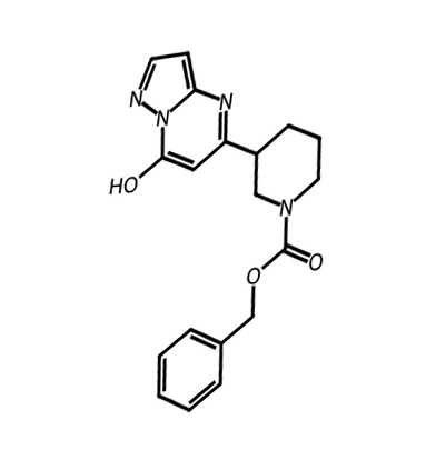 O=C(OCc1ccccc1)N1CCCC(c2cc(O)n3nccc3n2)C1